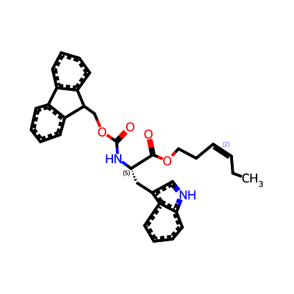 CC/C=C\CCOC(=O)[C@H](Cc1c[nH]c2ccccc12)NC(=O)OCC1c2ccccc2-c2ccccc21